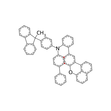 CC1(c2ccc(N(c3ccc(-c4ccccc4)cc3)c3ccccc3-c3ccc4c(c3)-c3cccc5cccc(c35)O4)cc2)c2ccccc2-c2ccccc21